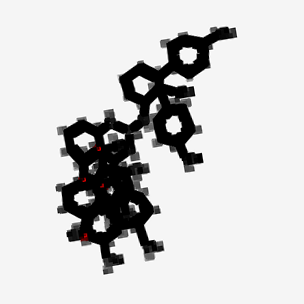 CC(C)(C)c1ccc(C2=CC=CC(OP(OC3C=CC=C(c4ccc(C(C)(C)C)cc4)C3(c3ccc(C(C)(C)C)cc3)C(C)(C)C)OC3C=CC=C(c4ccc(C(C)(C)C)cc4)C3(c3ccc(C(C)(C)C)cc3)C(C)(C)C)C2(c2ccc(C(C)(C)C)cc2)C(C)(C)C)cc1